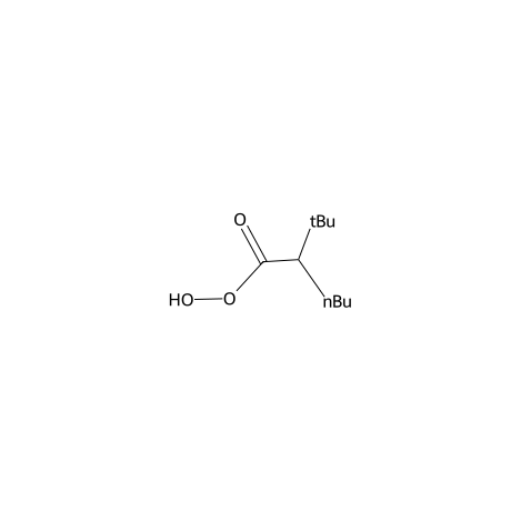 CCCCC(C(=O)OO)C(C)(C)C